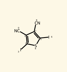 N#Cc1c(I)sc(I)c1C#N